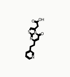 O=C(O)Cc1csc2nc(CCc3cccnc3)cc(=O)n12